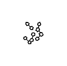 c1ccc(-c2ccc(N(c3ccc(-c4ccc5cccc(-c6ccccc6)c5c4)cc3)c3cc(-c4ccccc4)cc4c3oc3c(-c5ccccc5)cccc34)cc2)cc1